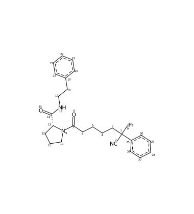 CC(C)C(C#N)(CCCCC(=O)N1CCC[C@@H]1C(=O)NCCc1ccccc1)c1ccccc1